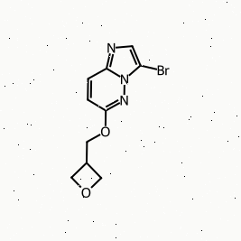 Brc1cnc2ccc(OCC3COC3)nn12